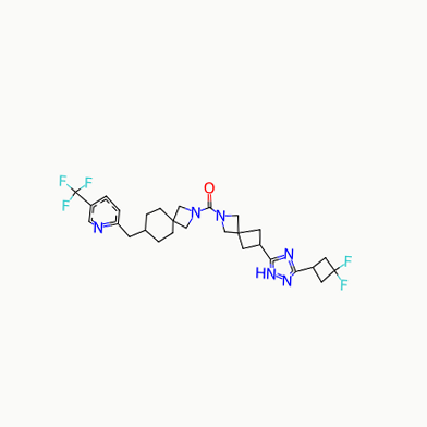 O=C(N1CC2(CCC(Cc3ccc(C(F)(F)F)cn3)CC2)C1)N1CC2(CC(c3nc(C4CC(F)(F)C4)n[nH]3)C2)C1